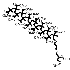 COC(=O)C(C)(C)CC(C)(CC(C)(CC(C)(CC(C)(CC(C)(CC(C)(CC(C)(CC(C)(CC(C)(CC(C)(CC(C)(CC(C)(CC(C)(CSCCCSCC(COC=O)OC=O)C(=O)OC)C(=O)OC)C(=O)OC)C(=O)OC)C(=O)OC)C(=O)OC)C(=O)OC)C(=O)OC)C(=O)OC)C(=O)OC)C(=O)OC)C(=O)OC)C(=O)OC